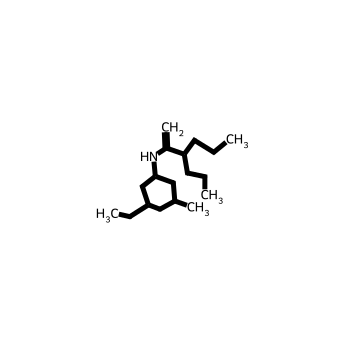 C=C(NC1CC(C)CC(CC)C1)C(CCC)CCC